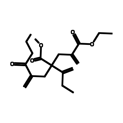 C=C(CC(CC(=C)C(=O)OCC)(C(=C)CC)C(=O)OC)C(=O)CCC